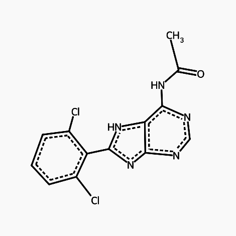 CC(=O)Nc1ncnc2nc(-c3c(Cl)cccc3Cl)[nH]c12